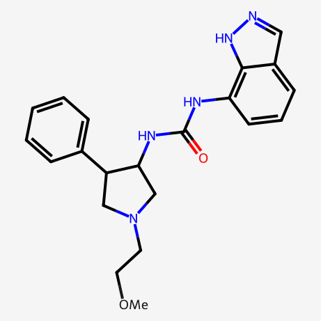 COCCN1CC(NC(=O)Nc2cccc3cn[nH]c23)C(c2ccccc2)C1